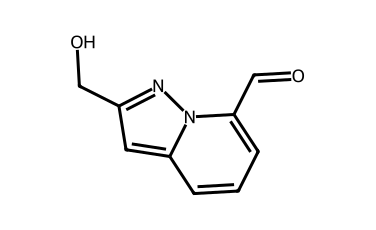 O=Cc1cccc2cc(CO)nn12